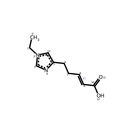 CCn1cnc(CC/C=C/C(=O)O)c1